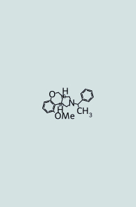 COc1cccc2c1[C@@H]1CN(C(C)c3ccccc3)C[C@H]1CO2